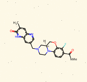 CNC(=O)c1ccc2c(c1F)OC[C@@H]1CN(Cc3cnc4cc(C)c(=O)[nH]c4c3)CCN21